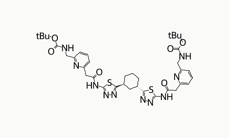 CC(C)(C)OC(=O)NCc1cccc(CC(=O)Nc2nnc([C@H]3CCC[C@H](c4nnc(NC(=O)Cc5cccc(CNC(=O)OC(C)(C)C)n5)s4)C3)s2)n1